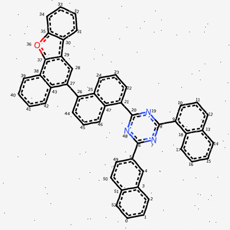 c1ccc2cc(-c3nc(-c4cccc5ccccc45)nc(-c4cccc5c(-c6cc7c8ccccc8oc7c7ccccc67)cccc45)n3)ccc2c1